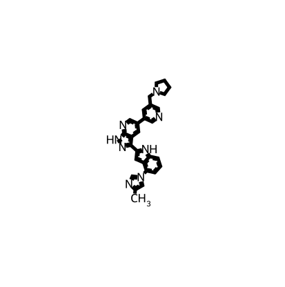 Cc1cn(-c2cccc3[nH]c(-c4n[nH]c5ncc(-c6cncc(CN7CCCC7)c6)cc45)cc23)cn1